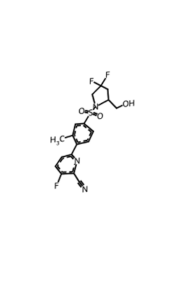 Cc1cc(S(=O)(=O)N2CC(F)(F)CC2CO)ccc1-c1ccc(F)c(C#N)n1